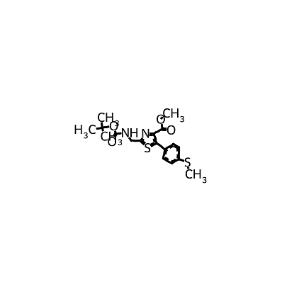 COC(=O)c1nc(CNC(=O)OC(C)(C)C)sc1-c1ccc(SC)cc1